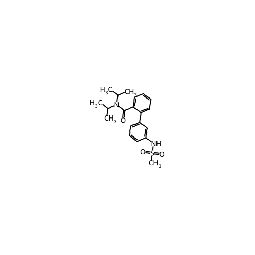 CC(C)N(C(=O)c1ccccc1-c1cccc(NS(C)(=O)=O)c1)C(C)C